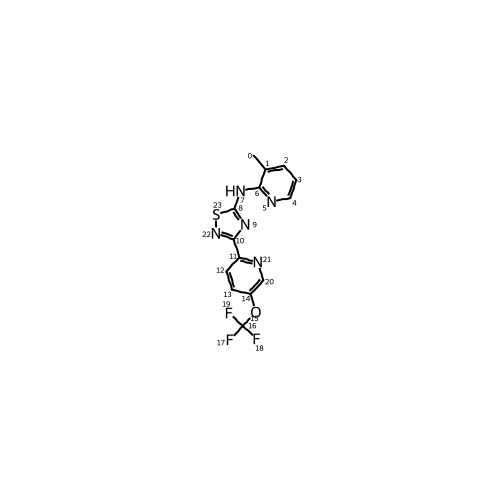 Cc1cccnc1Nc1nc(-c2ccc(OC(F)(F)F)cn2)ns1